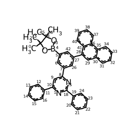 CC1(C)OB(c2cc(-c3cc(-c4ccccc4)nc(-c4ccccc4)n3)cc(-c3cc4ccccc4c4ccccc34)c2)OC1(C)C